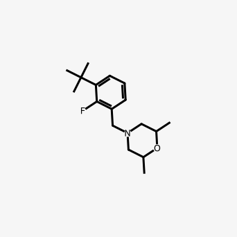 CC1CN(Cc2cccc(C(C)(C)C)c2F)CC(C)O1